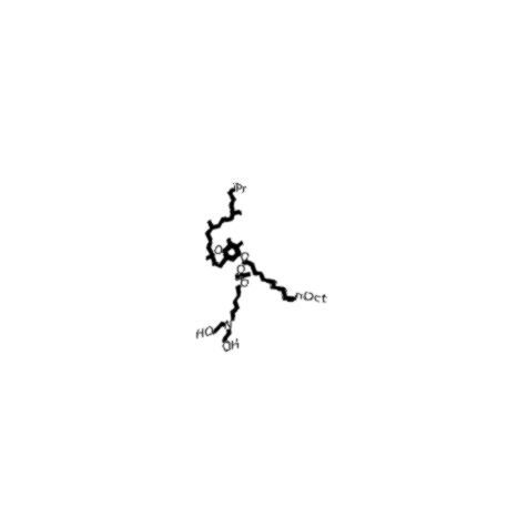 CCCCCCCC/C=C\CCCCCCCC(Oc1cc2c(c(C)c1C)OC(C)(CCCC(C)CCCC(C)CCCC(C)C)CC2)O[Si](C)(C)OCCCCCCN(CCO)CCO